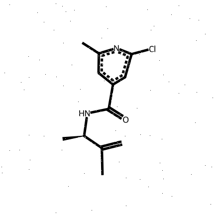 C=C(C)[C@@H](C)NC(=O)c1cc(C)nc(Cl)c1